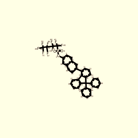 O=S(=O)(Oc1ccc2cc(-c3cccc4c3-c3ccccc3C4(c3ccccc3)c3ccccc3)ccc2c1)C(F)(F)C(F)(F)C(F)(F)C(F)(F)F